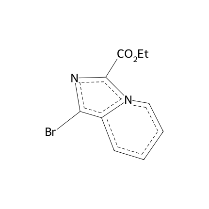 CCOC(=O)c1nc(Br)c2ccccn12